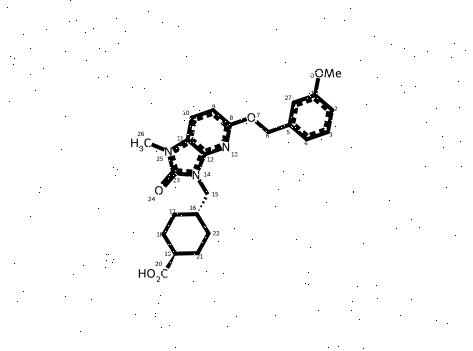 COc1cccc(COc2ccc3c(n2)n(C[C@H]2CC[C@H](C(=O)O)CC2)c(=O)n3C)c1